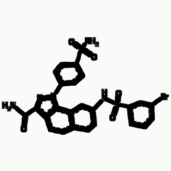 NC(=O)c1nn(-c2ccc(S(N)(=O)=O)cc2)c2c1ccc1ccc(NS(=O)(=O)c3cccc(Br)c3)cc12